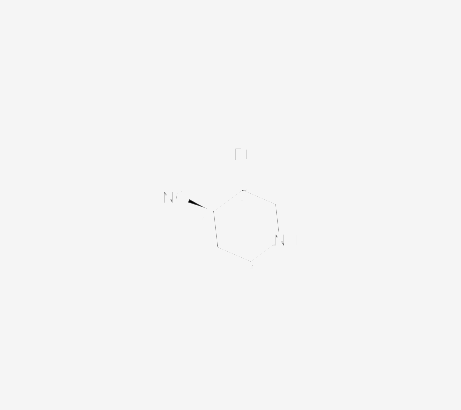 CC[C@@H]1CNCC[C@H]1C#N